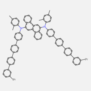 Cc1ccc(N(c2ccc(-c3ccc(-c4ccc(-c5cccc(C(C)C)c5)cc4)cc3)cc2)c2cc3c4ccccc4c(N(c4ccc(-c5ccc(-c6ccc(-c7cccc(C(C)C)c7)cc6)cc5)cc4)c4ccc(C)cc4C)cc3c3ccccc23)c(C)c1